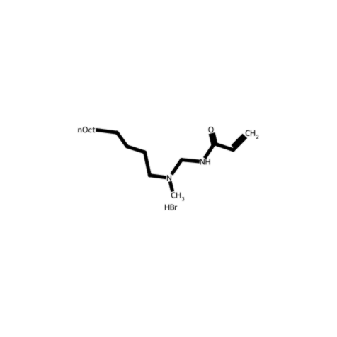 Br.C=CC(=O)NCN(C)CCCCCCCCCCCC